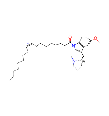 CCCCCCCC/C=C\CCCCCCCC(=O)n1cc(C[C@H]2CCCN2C)c2cc(OC)ccc21